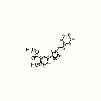 COC(=O)c1cc(-c2cn(CCN3CCCCC3)nn2)ccc1O